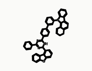 C1=Cc2c(ccc3c4ccccc4n(-c4cccc(-c5ccc(C6=NC(c7ccccc7)=NC(c7cccc8oc9ccccc9c78)N6)cc5)c4)c23)CC1